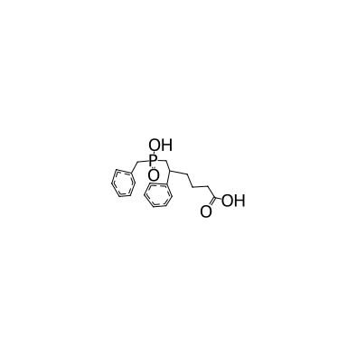 O=C(O)CCCC(CP(=O)(O)Cc1ccccc1)c1ccccc1